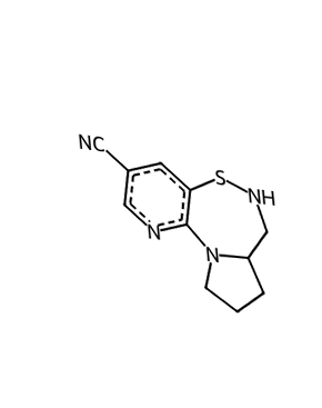 N#Cc1cnc2c(c1)SNCC1CCCN21